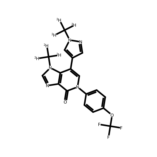 [2H]C([2H])([2H])n1cc(-c2cn(-c3ccc(OC(F)(F)F)cc3)c(=O)c3ncn(C([2H])([2H])[2H])c23)cn1